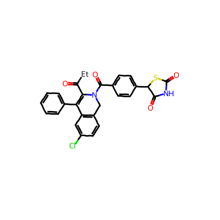 CCC(=O)C1=C(c2ccccc2)c2cc(Cl)ccc2CN1C(=O)c1ccc(C2SC(=O)NC2=O)cc1